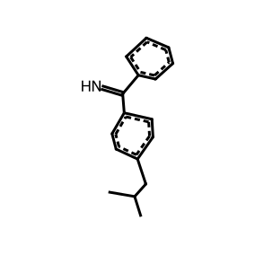 CC(C)Cc1ccc(C(=N)c2ccccc2)cc1